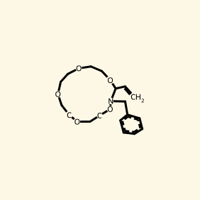 C=CC1OCCOCCOCCOCCON1Cc1ccccc1